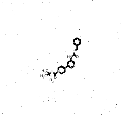 CC(C)(C)OC(=O)N1CC=C(c2cncc(NC(=O)OCc3ccccc3)c2)CC1